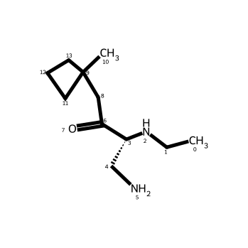 CCN[C@H](CN)C(=O)CC1(C)CCC1